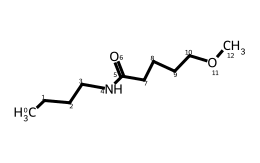 CCCCNC(=O)CCCCOC